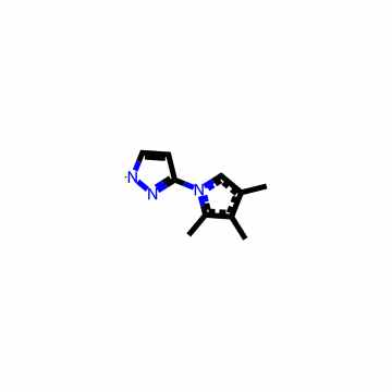 Cc1cn(C2=N[N]C=C2)c(C)c1C